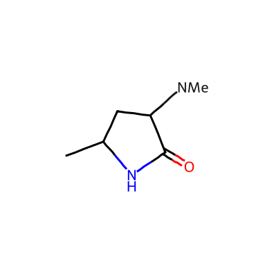 CNC1CC(C)NC1=O